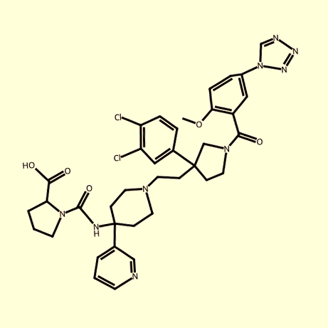 COc1ccc(-n2cnnn2)cc1C(=O)N1CCC(CCN2CCC(NC(=O)N3CCCC3C(=O)O)(c3cccnc3)CC2)(c2ccc(Cl)c(Cl)c2)C1